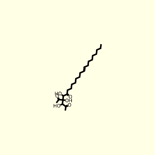 CCCCCCCCC=CCCCCCCCC(=O)C(O)C(O)(C(C)=O)C(O)C(C)=O